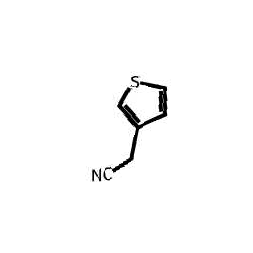 N#CCc1ccsc1